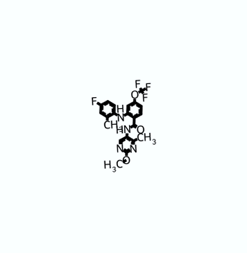 COc1ncc(NC(=O)c2ccc(OC(F)(F)F)cc2Nc2ccc(F)cc2C)c(C)n1